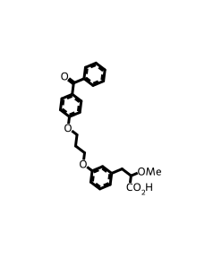 COC(Cc1cccc(OCCCOc2ccc(C(=O)c3ccccc3)cc2)c1)C(=O)O